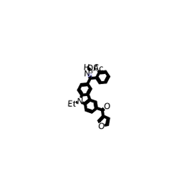 CCn1c2ccc(C(=O)c3ccoc3)cc2c2cc(/C(=N/OC(C)=O)c3ccccc3C)ccc21